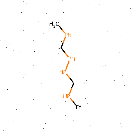 CCPCPPCPC